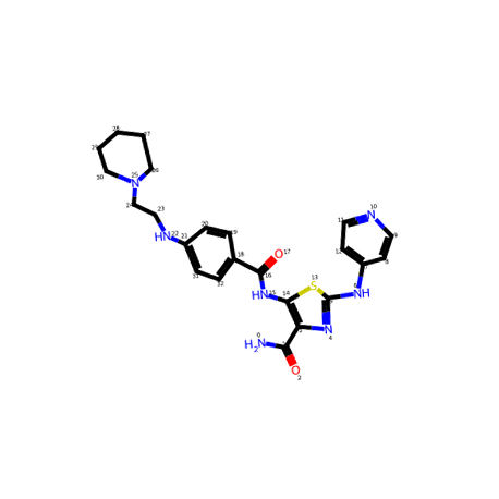 NC(=O)c1nc(Nc2ccncc2)sc1NC(=O)c1ccc(NCCN2CCCCC2)cc1